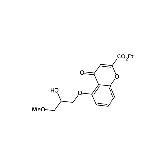 CCOC(=O)c1cc(=O)c2c(OCC(O)COC)cccc2o1